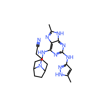 Cc1cc(Nc2nc(NC3CC4CCC(C3)N4CCC#N)c3nc(C)[nH]c3n2)n[nH]1